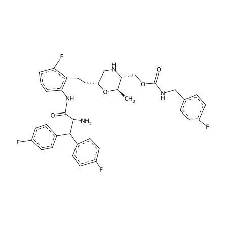 C[C@H]1O[C@H](CCc2c(F)cccc2NC(=O)C(N)C(c2ccc(F)cc2)c2ccc(F)cc2)CN[C@@H]1COC(=O)NCc1ccc(F)cc1